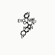 CCOc1ccncc1NC(=O)c1c(N)nn2cc3c(nc12)CCN(C)C3